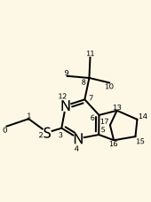 CCSc1nc2c(c(C(C)(C)C)n1)C1CCC2C1